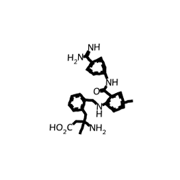 Cc1ccc(NCc2ccccc2CC(C)(N)CC(=O)O)c(C(=O)Nc2ccc(C(=N)N)cc2)c1